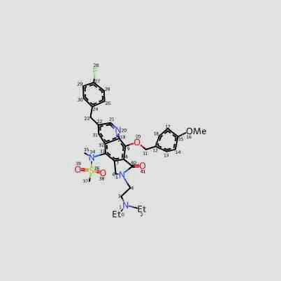 CCN(CC)CCN1Cc2c(c(OCc3ccc(OC)cc3)c3ncc(Cc4ccc(F)cc4)cc3c2N(C)S(C)(=O)=O)C1=O